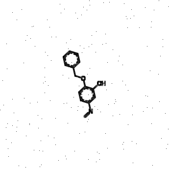 C=Nc1ccc(OCc2ccccc2)c(O)c1